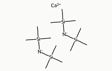 C[Si](C)(C)[N-][Si](C)(C)C.C[Si](C)(C)[N-][Si](C)(C)C.[Ca+2]